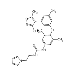 Cc1cc(Oc2c(C)cc(NC(=O)NCCn3cccc3)cc2C)cc(-c2c(C)noc2C)c1